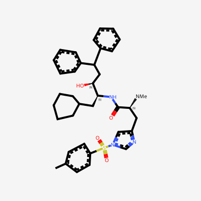 CN[C@@H](Cc1cn(S(=O)(=O)c2ccc(C)cc2)cn1)C(=O)N[C@@H](CC1CCCCC1)[C@@H](O)CC(c1ccccc1)c1ccccc1